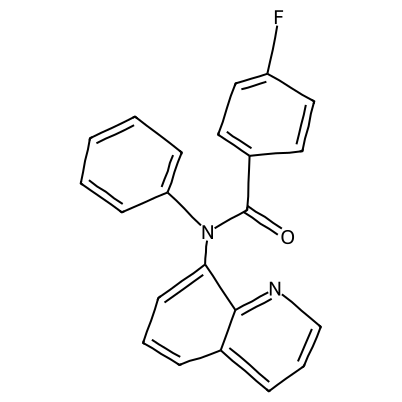 O=C(c1ccc(F)cc1)N(c1ccccc1)c1cccc2cccnc12